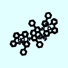 C=Cc1c(N(c2ccc(C3CCCCC3)cc2)c2cccc3c2oc2c(-c4ccccc4C(C)C)cccc23)cc(C2CCCCC2)c2ccc3c(N(c4ccc(C5CCCCC5)cc4)c4cccc(-c5cccc(-c6ccccc6C(C)C)c5)c4O)cc(C4CCCCC4)c(C)c3c12